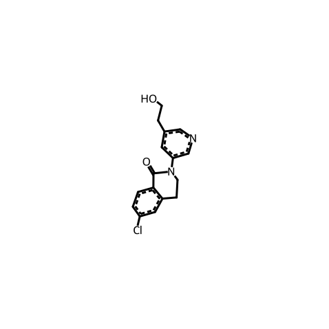 O=C1c2ccc(Cl)cc2CCN1c1cncc(CCO)c1